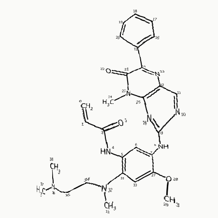 C=CC(=O)Nc1cc(Nc2ncc3nc(-c4ccccc4)c(=O)n(C)c3n2)c(OC)cc1N(C)CCN(C)C